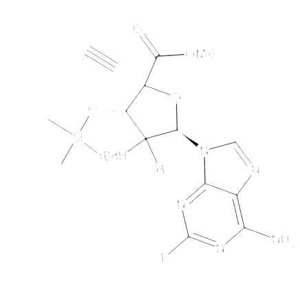 [2H]C1([2H])[C@H](n2cnc3c(N)nc(F)nc32)O[C@](C#C)(C(=O)OC)[C@H]1O[Si](C)(C)C(C)(C)C